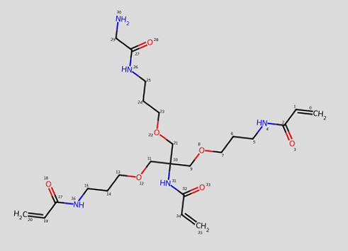 C=CC(=O)NCCCOCC(COCCCNC(=O)C=C)(COCCCNC(=O)CN)NC(=O)C=C